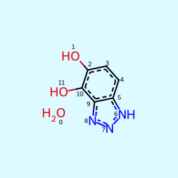 O.Oc1ccc2[nH]nnc2c1O